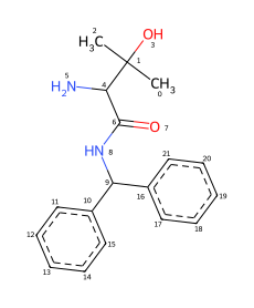 CC(C)(O)C(N)C(=O)NC(c1ccccc1)c1ccccc1